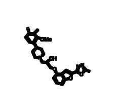 COc1c(C2CCN(CC(O)COc3cccc4oc(-c5nnc(C)o5)cc34)CC2)ccc(C)c1C